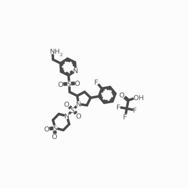 NCc1ccnc(S(=O)(=O)CC2CC(c3ccccc3F)CN2S(=O)(=O)N2CCS(=O)(=O)CC2)c1.O=C(O)C(F)(F)F